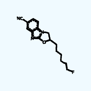 N#Cc1ccc2c(c1)nc1n2CC(CCCCCCF)O1